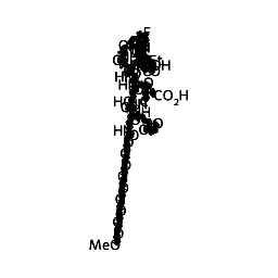 CC[C@@]1(O)C(=O)OCc2c1cc1n(c2=O)Cc2c-1nc1cc(F)c(C)c3c1c2[C@@H](NC(=O)[C@H](C)NC(=O)[C@H](C)NC(=O)[C@H](C)NC(=O)[C@H](CCC(=O)N(CCC(=O)O)CCC(=O)O)NC(=O)CCCNC(=O)[C@H](CCCCNC(=O)COCCOCCOCCOCCOCCOCCOCCOCCOCCOC)NC(=O)CCCN1C(=O)C=CC1=O)CC3